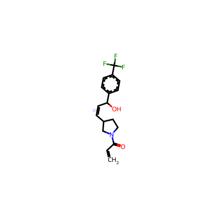 C=CC(=O)N1CCC(/C=C\C(O)c2ccc(C(F)(F)F)cc2)C1